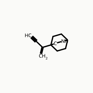 C#CC(=C)C12CCC(CC1)NC2